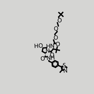 Cc1ncsc1-c1ccc(CNC(=O)[C@@H]2C[C@@H](O)CN2C(=O)[C@@H](NC(=O)COCCOCCOCC(C)(C)C)C(C)(C)C)cc1